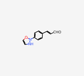 O=CC=Cc1ccc(N2NC=CO2)cc1